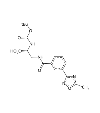 Cc1nc(-c2cccc(C(=O)NC[C@H](NC(=O)OC(C)(C)C)C(=O)O)c2)no1